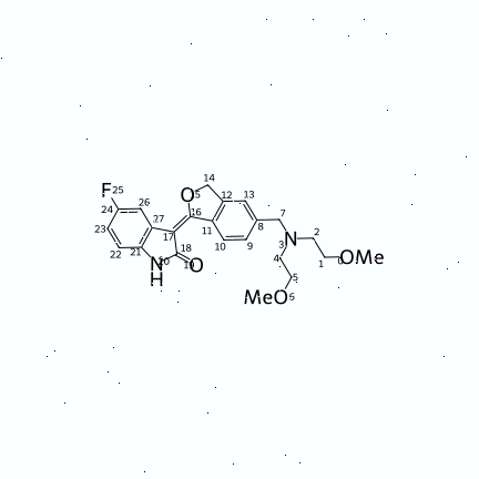 COCCN(CCOC)Cc1ccc2c(c1)COC2=C1C(=O)Nc2ccc(F)cc21